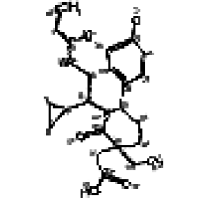 CC[S+]([O-])NCC(C1CC1)N1C(=O)C(CC)(CC(=O)O)CCC1c1ccc(Cl)cc1